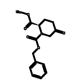 CC(C)(C)OC(=O)[C@@H]1CCC(=O)CN1C(=O)OCc1ccccc1